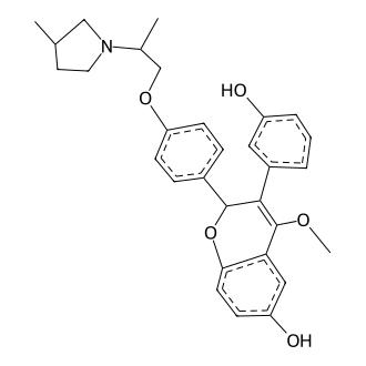 COC1=C(c2cccc(O)c2)C(c2ccc(OCC(C)N3CCC(C)C3)cc2)Oc2ccc(O)cc21